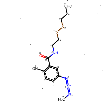 CN=[N+]=Nc1ccc(N=O)c(C(=O)NCCSSCCC=O)c1